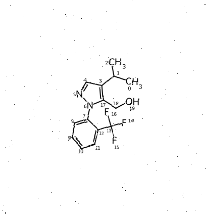 CC(C)c1cnn(-c2ccccc2C(F)(F)F)c1CO